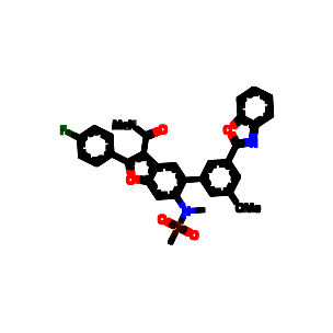 CNC(=O)c1c(-c2ccc(F)cc2)oc2cc(N(C)S(C)(=O)=O)c(-c3cc(OC)cc(-c4nc5ccccc5o4)c3)cc12